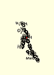 COc1cc(S(=O)(=O)N2CCN(C3CC4(CCN(c5ccc(C(=O)NS(=O)(=O)c6ccc(NC[C@H]7CC[C@](C)(O)CC7)c([N+](=O)[O-])c6)c(N6c7cc8cc[nH]c8nc7O[C@H]7COCC[C@@H]76)c5)CC4)C3)[C@H](c3ccccc3C)C2)cnc1N1CCOCC1